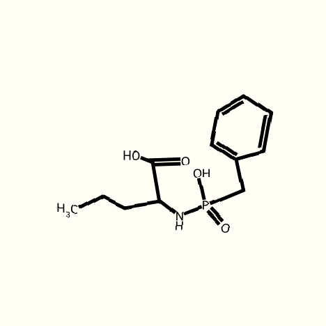 CCCC(NP(=O)(O)Cc1ccccc1)C(=O)O